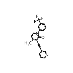 Cc1ccn(-c2cccc(C(F)(F)F)c2)c(=O)c1C#Cc1cccnc1